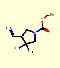 CC(C)(C)OC(=O)N1CC(C=N)C(C)(N)C1